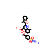 Cc1c(-c2cc(C(=O)O)c3c(O[C@@H](C)c4ccc(S(N)(=O)=O)cc4)ccc(C)c3n2)oc2ccccc12